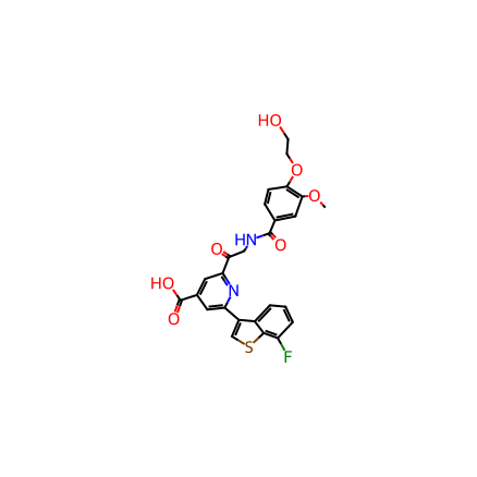 COc1cc(C(=O)NCC(=O)c2cc(C(=O)O)cc(-c3csc4c(F)cccc34)n2)ccc1OCCO